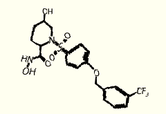 O=C(NO)C1CCC(O)CN1S(=O)(=O)c1ccc(OCc2cccc(C(F)(F)F)c2)cc1